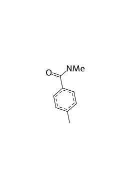 [CH2-][NH2+]C(=O)c1ccc(C)cc1